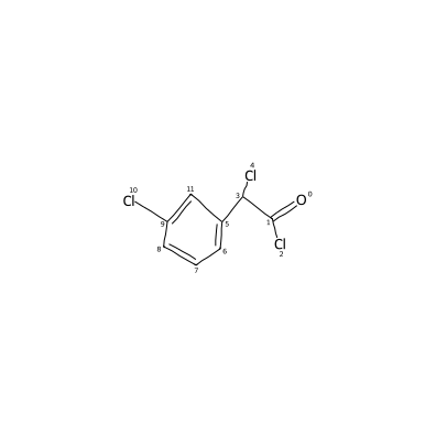 O=C(Cl)C(Cl)c1cccc(Cl)c1